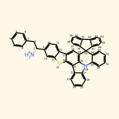 N[C@H](Cc1ccccc1)c1ccc2c(c1)sc1c2cc2c3c1c1ccccc1n3-c1ccccc1C21c2ccccc2-c2ccccc21